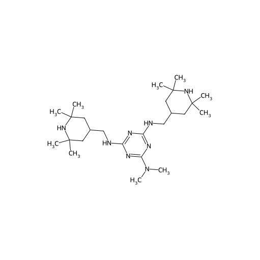 CN(C)c1nc(NCC2CC(C)(C)NC(C)(C)C2)nc(NCC2CC(C)(C)NC(C)(C)C2)n1